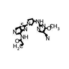 C=CC(=O)Nc1cncc2sc(N3CC[C@@H](Nc4ncc(C#N)c(OC)n4)C3)nc12